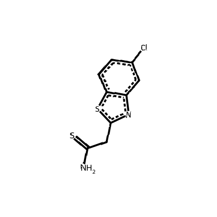 NC(=S)Cc1nc2cc(Cl)ccc2s1